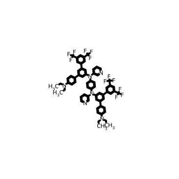 CCN(CC)c1ccc(-c2cc(-c3cc(C(F)(F)F)cc(C(F)(F)F)c3)cc(N(c3ccc(N(c4cccnc4)c4cc(-c5ccc(N(CC)CC)cc5)cc(-c5cc(C(F)(F)F)cc(C(F)(F)F)c5)c4)cc3)c3cccnc3)c2)cc1